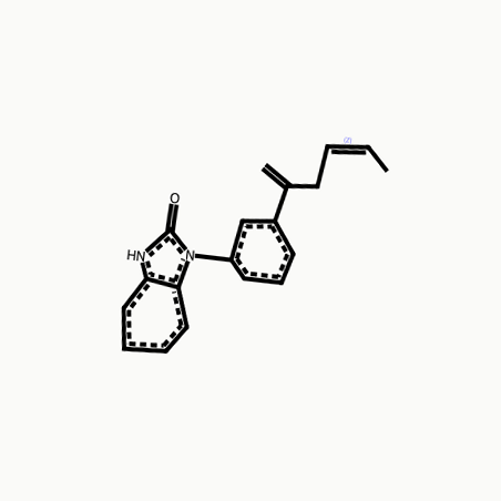 C=C(C/C=C\C)c1cccc(-n2c(=O)[nH]c3ccccc32)c1